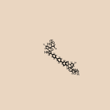 COC(=O)N[C@H](C(=O)N1C[C@@H](C)C[C@H]1c1nc(-c2ccc(-c3ccc(-c4ccc5[nH]c([C@@H]6C[C@H](C)CN6C(=O)[C@@H](NC(=O)O)C(C)C)nc5c4)cc3)cc2)c[nH]1)C(C)C